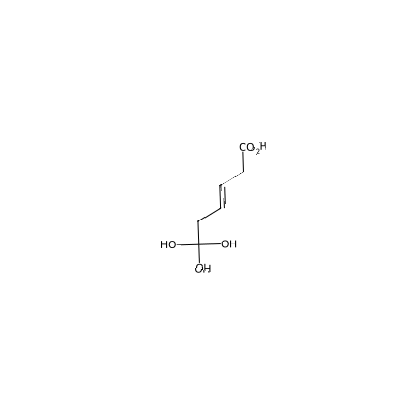 O=C(O)CC=CCC(O)(O)O